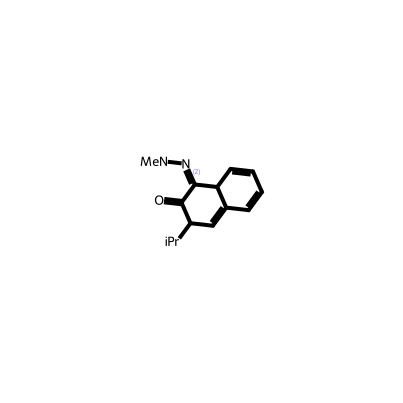 CN/N=C1\C(=O)C(C(C)C)C=C2C=CC=CC21